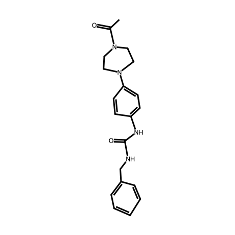 CC(=O)N1CCN(c2ccc(NC(=O)NCc3ccccc3)cc2)CC1